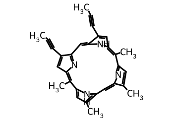 CC#CC1=Cc2nc1cc1[nH]c(cc1C#CC)c(C)c1nc(cc3[nH]c(cc3C)c2C)C(C)=C1